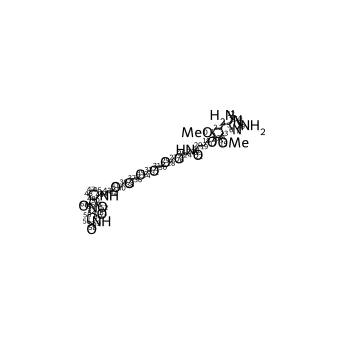 COc1cc(Cc2cnc(N)nc2N)cc(OC)c1OCCCC(=O)NCCOCCOCCOCCOCCOCCOCCNc1cccc2c1C(=O)N(C1CCC(=O)NC1=O)C2=O